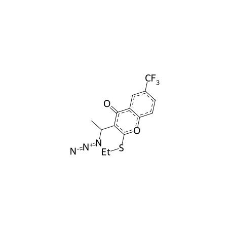 CCSc1oc2ccc(C(F)(F)F)cc2c(=O)c1C(C)N=[N+]=[N-]